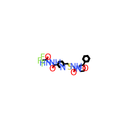 O=C(NNC(=O)C(F)(F)F)c1ccc(CSNC(=O)N2CCOC(c3ccccc3)C2)nc1